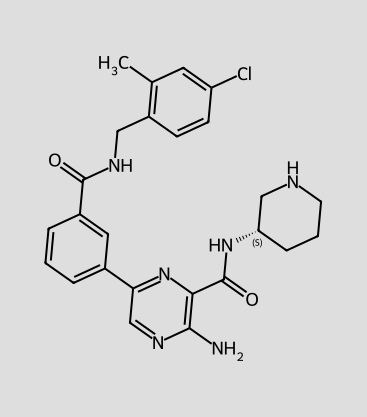 Cc1cc(Cl)ccc1CNC(=O)c1cccc(-c2cnc(N)c(C(=O)N[C@H]3CCCNC3)n2)c1